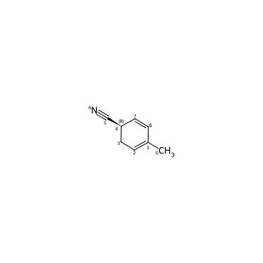 CC1=CC[C@@H](C#N)C=C1